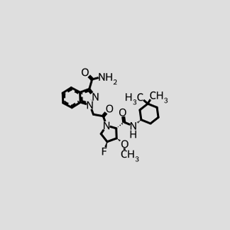 CO[C@H]1[C@@H](C(=O)N[C@H]2CCCC(C)(C)C2)N(C(=O)Cn2nc(C(N)=O)c3ccccc32)C[C@@H]1F